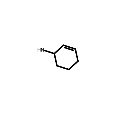 [NH]C1C=CCCC1